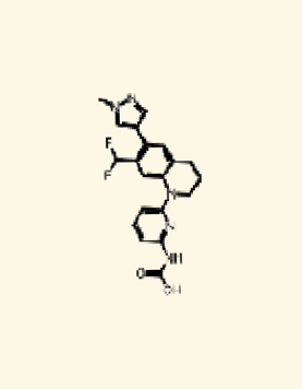 Cn1cc(-c2cc3c(cc2C(F)F)N(c2cccc(NC(=O)O)n2)CCC3)cn1